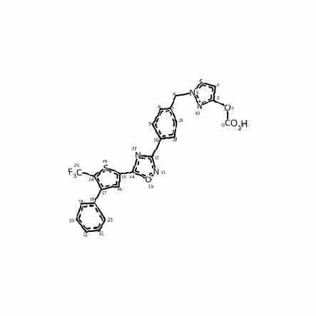 O=C(O)Oc1ccn(Cc2ccc(-c3noc(-c4cc(-c5ccccc5)c(C(F)(F)F)s4)n3)cc2)n1